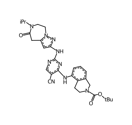 CC(C)N1CCn2nc(Nc3ncc(C#N)c(Nc4cccc5c4CCN(C(=O)OC(C)(C)C)C5)n3)cc2CC1=O